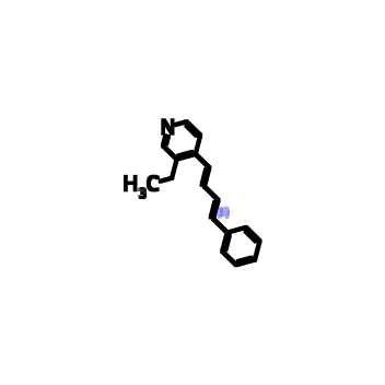 CCc1cnccc1C=C/C=C/c1ccccc1